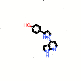 Oc1ccc(-c2ccn(-c3ccnc4[nH]ccc34)n2)cc1